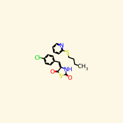 CCCCSc1ccccn1.O=C1NC(=Cc2ccc(Cl)cc2)C(=O)S1